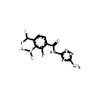 CCC[S+]([O-])c1c(C(F)F)ccc(C(=O)Nc2nnc(C)o2)c1F